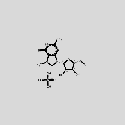 CN1CN([C@@H]2O[C@H](CO)[C@@H](O)[C@H]2O)c2nc(N)[nH]c(=S)c21.O=P(O)(O)O